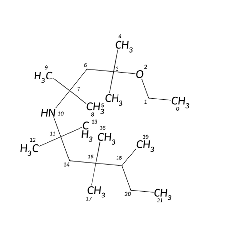 CCOC(C)(C)CC(C)(C)NC(C)(C)CC(C)(C)C(C)CC